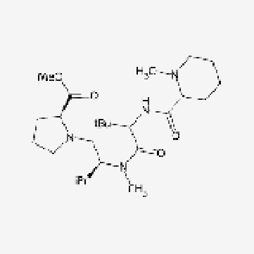 COC(=O)[C@@H]1CCCN1C[C@H](C(C)C)N(C)C(=O)C(NC(=O)[C@H]1CCCCN1C)C(C)(C)C